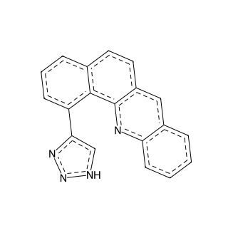 c1ccc2nc3c(ccc4cccc(-c5c[nH]nn5)c43)cc2c1